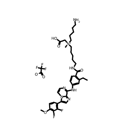 CCc1cc(Nc2nccn3c(-c4ccc(OC)c(F)c4F)cnc23)ccc1C(=O)NCCCCC[N+](C)(CCCCCN)CC(=O)O.O=C([O-])C(F)(F)F